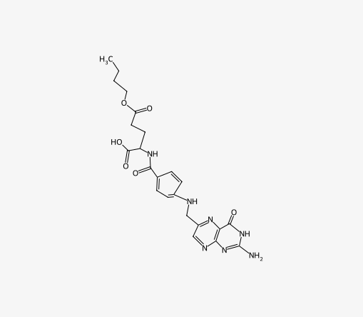 CCCCOC(=O)CCC(NC(=O)c1ccc(NCc2cnc3nc(N)[nH]c(=O)c3n2)cc1)C(=O)O